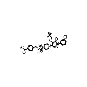 COC(=O)c1ccc(CNS(=O)(=O)N2CCN(c3cnn(-c4cccc(Cl)c4)c(=O)c3OCC3(C)CC3)CC2)cc1